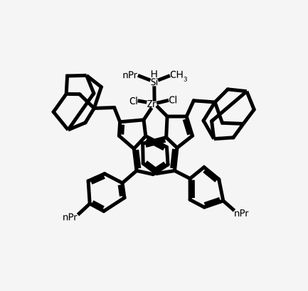 CCCc1ccc(-c2cccc3c2C=C(CC24CC5CC(CC(C5)C2)C4)[CH]3[Zr]([Cl])([Cl])([CH]2C(CC34CC5CC(CC(C5)C3)C4)=Cc3c(-c4ccc(CCC)cc4)cccc32)[SiH](C)CCC)cc1